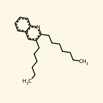 CCCCCCCc1nc2ccccc2cc1CCCCCC